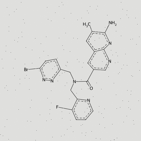 Cc1cc2cc(C(=O)N(Cc3ccc(Br)nn3)Cc3ncccc3F)cnc2nc1N